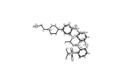 CC(C)Oc1cc(C2CCN(CCO)CC2)cnc1Nc1cc(Nc2ccccc2S(=O)(=O)C(C)C)c(Cl)cn1